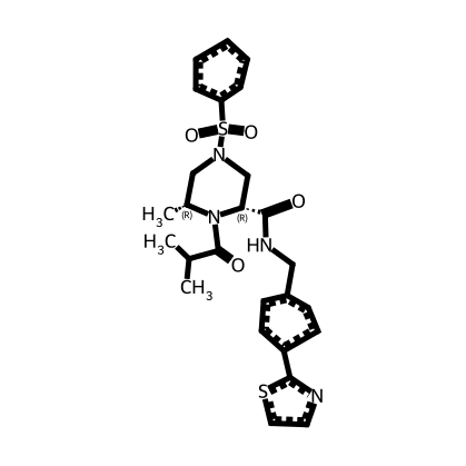 CC(C)C(=O)N1[C@H](C)CN(S(=O)(=O)c2ccccc2)C[C@@H]1C(=O)NCc1ccc(-c2nccs2)cc1